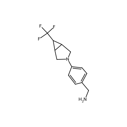 NCc1ccc(N2CC3C(C2)C3C(F)(F)F)cc1